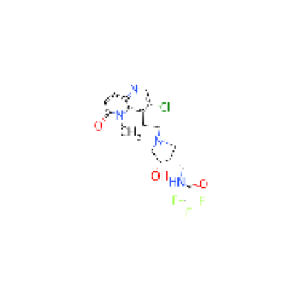 Cn1c(=O)ccc2ncc(Cl)c(CCN3C[C@H](CNC(=O)C(F)(F)F)[C@H](O)C3)c21